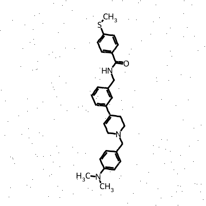 CSc1ccc(C(=O)NCc2cccc(C3=CCN(Cc4ccc(N(C)C)cc4)CC3)c2)cc1